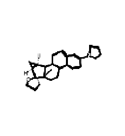 C[C@]12CCC3C4CCC(N5CCCC5)=CC4=CCC3C1[C@@H]1C[C@@H]1[C@@]21CCCO1